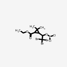 CCOC(=O)C1C(C(OP(Cl)Cl)C(Br)(Br)Br)C1(C)C